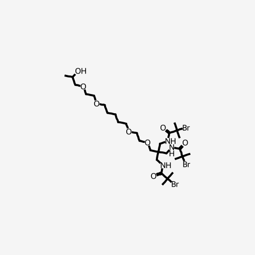 CC(O)COCCOCCCCCOCCOCC(CNC(=O)C(C)(C)Br)(CNC(=O)C(C)(C)Br)CNC(=O)C(C)(C)Br